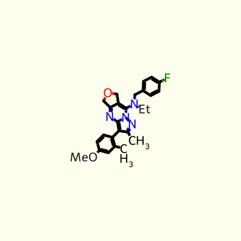 CCN(Cc1ccc(F)cc1)c1c2c(nc3c(-c4ccc(OC)cc4C)c(C)nn13)COC2